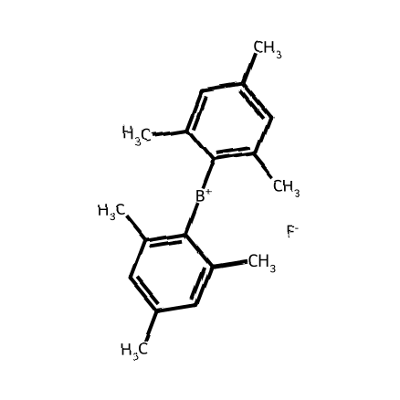 Cc1cc(C)c([B+]c2c(C)cc(C)cc2C)c(C)c1.[F-]